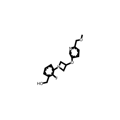 COCc1ccc(OC2CN(c3cccc(CO)c3F)C2)cn1